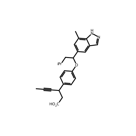 CC#CC(CC(=O)O)c1ccc(OC(CC(C)C)c2cc(C)c3[nH]ncc3c2)cc1